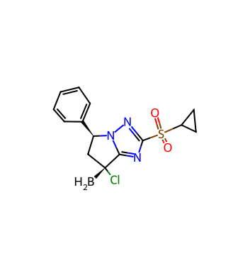 B[C@@]1(Cl)C[C@@H](c2ccccc2)n2nc(S(=O)(=O)C3CC3)nc21